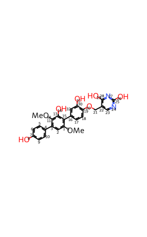 COc1cc(-c2ccc(O)cc2)c(OC)c(O)c1-c1ccc(OCc2cnc(O)nc2O)c(O)c1